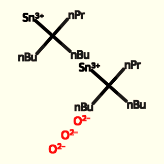 CCCC[C]([Sn+3])(CCC)CCCC.CCCC[C]([Sn+3])(CCC)CCCC.[O-2].[O-2].[O-2]